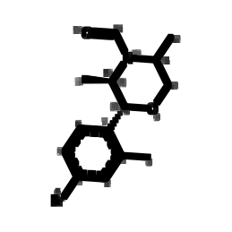 Cc1cc(Br)ccc1[C@H]1OCC(C)N(C=O)[C@@H]1C